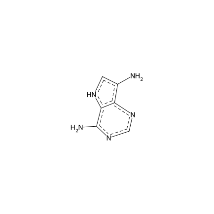 Nc1c[nH]c2c(N)ncnc12